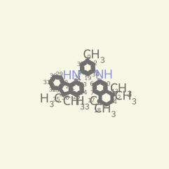 Cc1cc(Nc2ccc3c(c2)C(C)(C)CCC3(C)C)cc(Nc2cccc3c2-c2ccccc2C3(C)C)c1